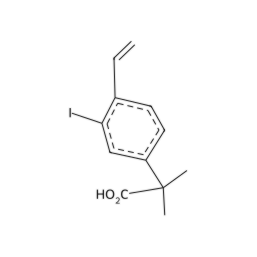 C=Cc1ccc(C(C)(C)C(=O)O)cc1I